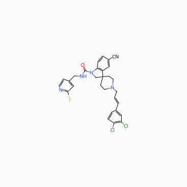 N#Cc1ccc2c(c1)C1(CCN(CC=Cc3ccc(Cl)c(Cl)c3)CC1)CN2C(=O)NCc1ccnc(F)c1